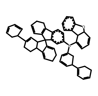 C1=CCCC(C2C=CC=C(N(C3=CC=CC4Oc5ccccc5C34)c3ccc4c(c3)C3(C5=CCCC=C5C5CCC(C6C=CC=CC6)=CC53)C3=C4CCC=C3)C2)=C1